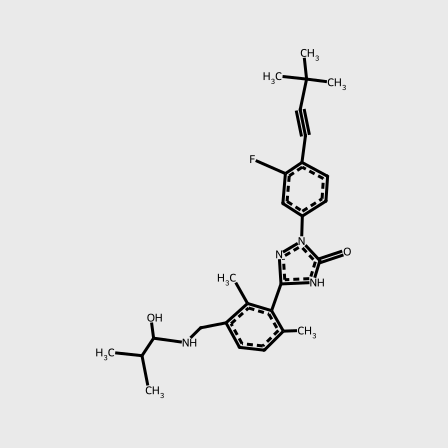 Cc1ccc(CNC(O)C(C)C)c(C)c1-c1nn(-c2ccc(C#CC(C)(C)C)c(F)c2)c(=O)[nH]1